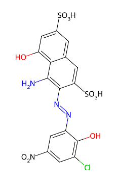 Nc1c(N=Nc2cc([N+](=O)[O-])cc(Cl)c2O)c(S(=O)(=O)O)cc2cc(S(=O)(=O)O)cc(O)c12